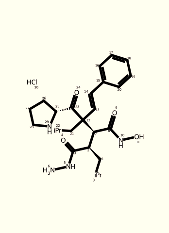 CC(C)C[C@@H](C(=O)NN)[C@H](C(=O)NO)C(/C=C/c1ccccc1)(CC(C)C)C(=O)[C@H]1CCCN1.Cl